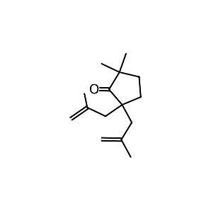 C=C(C)CC1(CC(=C)C)CCC(C)(C)C1=O